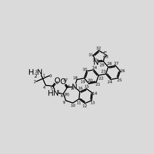 CC(C)(N)CC(=O)N[C@@H]1CCc2ccccc2N(Cc2ccc(-c3ccccc3-c3nccs3)cc2)C1=O